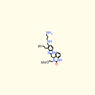 COCCN1C(=O)Nc2ccccc2C1Cc1nc2c(CCC(C)C)c(CNCCCN)ccc2[nH]1